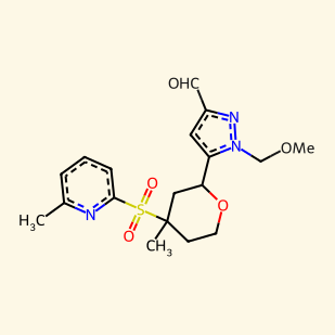 COCn1nc(C=O)cc1C1CC(C)(S(=O)(=O)c2cccc(C)n2)CCO1